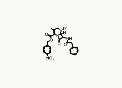 CC1=C(C(=O)OCc2ccc([N+](=O)[O-])cc2)N2C(=O)C(NC(=O)Cc3ccccc3)[C@H]2[S+]([O-])C1